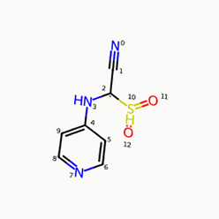 N#C[C](Nc1ccncc1)[SH](=O)=O